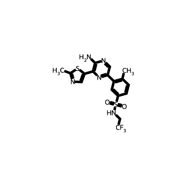 Cc1ncc(-c2nc(-c3cc(S(=O)(=O)NCC(F)(F)F)ccc3C)cnc2N)s1